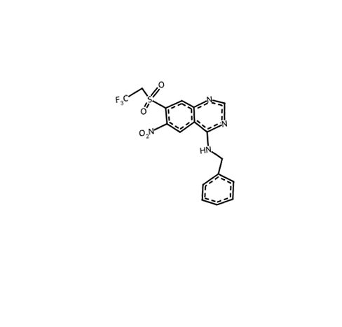 O=[N+]([O-])c1cc2c(NCc3ccccc3)ncnc2cc1S(=O)(=O)CC(F)(F)F